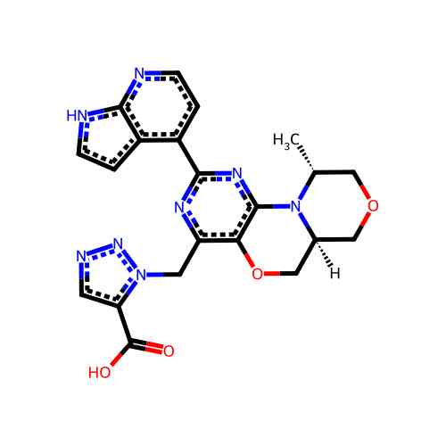 C[C@@H]1COC[C@H]2COc3c(Cn4nncc4C(=O)O)nc(-c4ccnc5[nH]ccc45)nc3N21